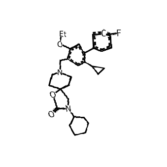 CCOc1cc(-c2ccc(F)cc2)c(C2CC2)cc1CN1CCC2(CC1)CN(C1CCCCC1)C(=O)O2